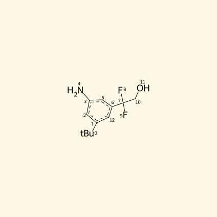 CC(C)(C)c1cc(N)cc(C(F)(F)CO)c1